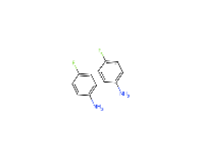 Nc1ccc(F)cc1.Nc1ccc(F)cc1